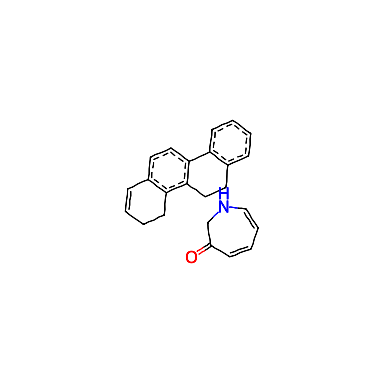 C1=Cc2ccc3c(c2CC1)CCc1ccccc1-3.O=C1C=CC=CNC1